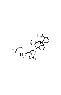 C=C(CC/C=C\C)c1cc(N(C2=C(C)CCC=C2)c2cccc(-c3cccc(C)c3)c2)ccc1C